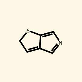 C1=NC=C2SCC=C12